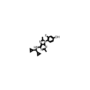 Cc1nc(NC(C2CC2)C2CC2)c2nc(C)n(-c3ccc(O)cc3F)c2n1